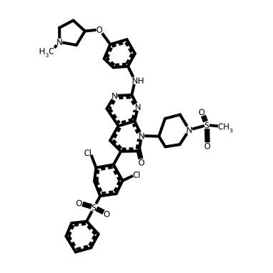 CN1CCC(Oc2ccc(Nc3ncc4cc(-c5c(Cl)cc(S(=O)(=O)c6ccccc6)cc5Cl)c(=O)n(C5CCN(S(C)(=O)=O)CC5)c4n3)cc2)C1